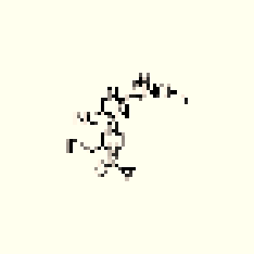 CC(C)CC1CN(c2nc(-c3cnn(C)c3)ncc2C#N)CCN1C(=O)C1CC1